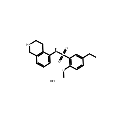 CCc1ccc(OC)c(S(=O)(=O)Nc2cccc3c2CCNC3)c1.Cl